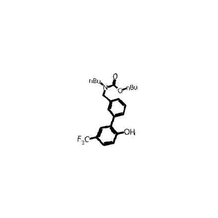 CCCCOC(=O)N(CCCC)Cc1cccc(-c2cc(C(F)(F)F)ccc2O)c1